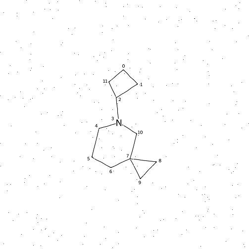 C1CC(N2CCCC3(CC3)C2)C1